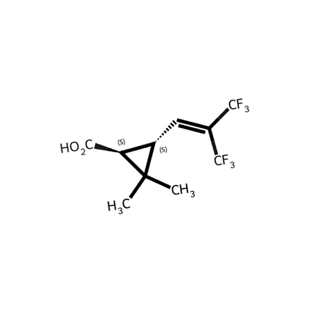 CC1(C)[C@@H](C=C(C(F)(F)F)C(F)(F)F)[C@@H]1C(=O)O